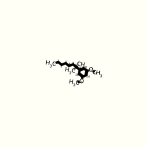 CCCCCCC(C)(C)c1cc(OC)[c]c(OC)c1